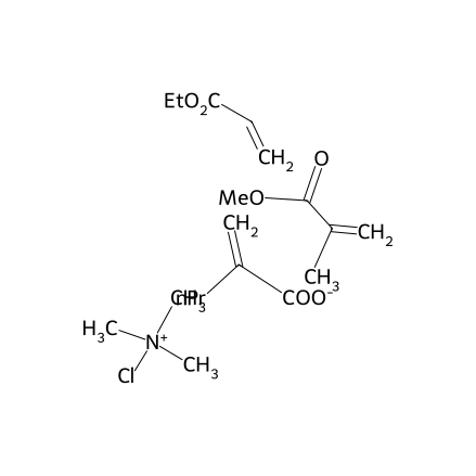 C=C(C)C(=O)OC.C=C(CCC)C(=O)[O-].C=CC(=O)OCC.C[N+](C)(C)Cl